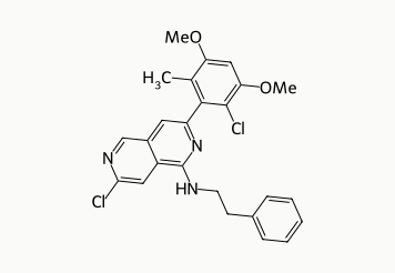 COc1cc(OC)c(Cl)c(-c2cc3cnc(Cl)cc3c(NCCc3ccccc3)n2)c1C